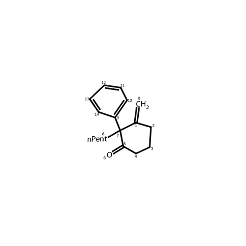 C=C1CCCC(=O)C1(CCCCC)c1ccccc1